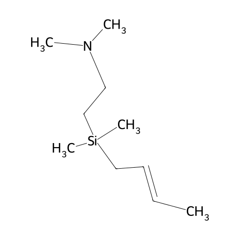 CC=CC[Si](C)(C)CCN(C)C